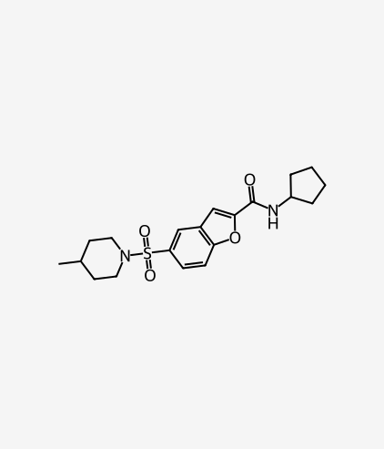 CC1CCN(S(=O)(=O)c2ccc3oc(C(=O)NC4CCCC4)cc3c2)CC1